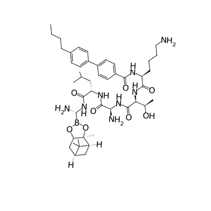 CCCCc1ccc(-c2ccc(C(=O)N[C@@H](CCCCN)C(=O)N[C@H](C(=O)N[C@@H](N)C(=O)N[C@@H](CC(C)C)C(=O)N[C@@H](N)B3OC4C[C@@H]5C[C@@H](C5(C)C)[C@]4(C)O3)[C@@H](C)O)cc2)cc1